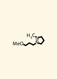 COCCCN1CCCN1C